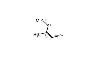 CCC/C=C(/C)SNC